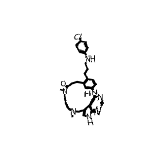 CN1CCCN(C)C(=O)CCc2cc(ccc2CCCNc2ccc(Cl)cc2)Nc2ncnc3[nH]cc(c23)C1